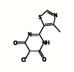 Cc1ncsc1C1=NC(=O)C(Cl)C(=O)N1